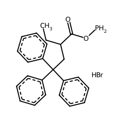 Br.CCC(CC(c1ccccc1)(c1ccccc1)c1ccccc1)C(=O)OP